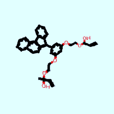 C=CC(O)OCCOc1cc(OCCOC(C)(O)C=C)cc(C2c3ccccc3-c3c2ccc2ccccc32)c1